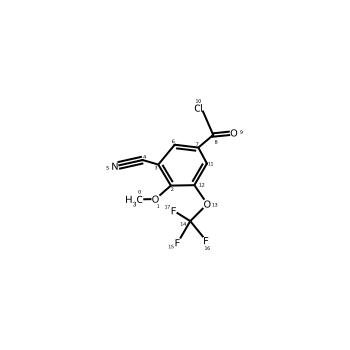 COc1c(C#N)cc(C(=O)Cl)cc1OC(F)(F)F